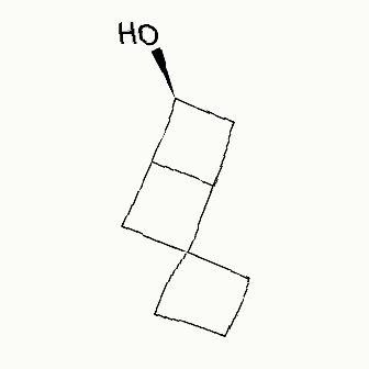 O[C@H]1CC2C1CC21CCC1